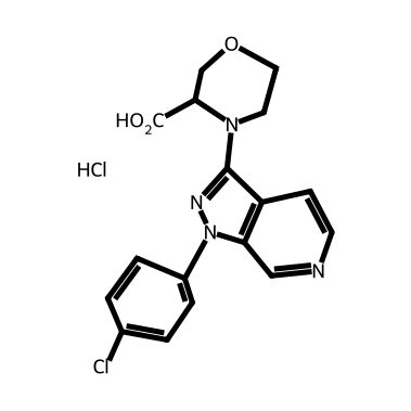 Cl.O=C(O)C1COCCN1c1nn(-c2ccc(Cl)cc2)c2cnccc12